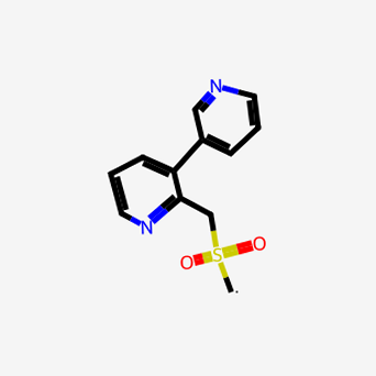 [CH2]S(=O)(=O)Cc1ncccc1-c1cccnc1